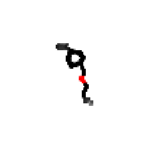 O=Cc1ccc(COCCC(F)(F)F)cc1